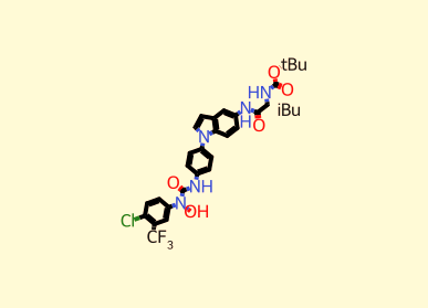 CC[C@H](C)C(NC(=O)OC(C)(C)C)C(=O)Nc1ccc2c(ccn2-c2ccc(NC(=O)N(O)c3ccc(Cl)c(C(F)(F)F)c3)cc2)c1